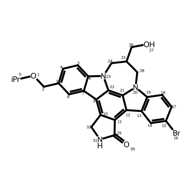 CC(C)OCc1ccc2c(c1)c1c3c(c4c5cc(Br)ccc5n5c4c1n2CC(CO)C5)C(=O)NC3